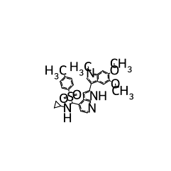 COc1cc2c(-c3cc4c(C(NC5CC5)S(=O)(=O)c5ccc(C)cc5)ccnc4[nH]3)cn(C)c2cc1OC